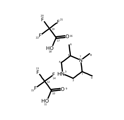 CC1CNCC(C)N1C.O=C(O)C(F)(F)F.O=C(O)C(F)(F)F